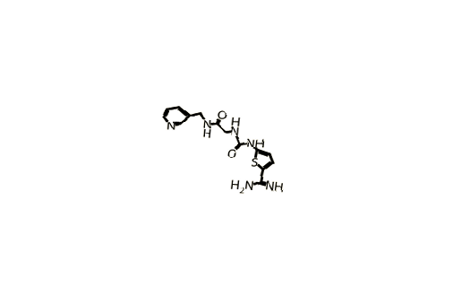 N=C(N)c1ccc(NC(=O)NCC(=O)NCc2cccnc2)s1